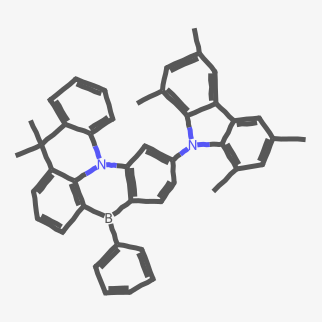 Cc1cc(C)c2c(c1)c1cc(C)cc(C)c1n2-c1ccc2c(c1)N1c3ccccc3C(C)(C)c3cccc(c31)B2c1ccccc1